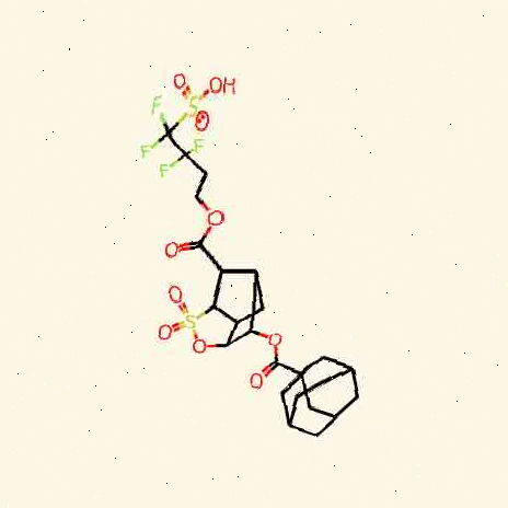 O=C(OCCC(F)(F)C(F)(F)S(=O)(=O)O)C1C2CC3C(OS(=O)(=O)C31)C2OC(=O)C12CC3CC(CC(C3)C1)C2